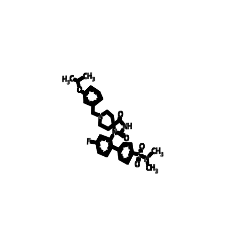 CC(C)Oc1cccc(CN2CCC3(CC2)C(=O)NC(=O)N3c2cc(F)ccc2-c2ccc(S(=O)(=O)N(C)C)cc2)c1